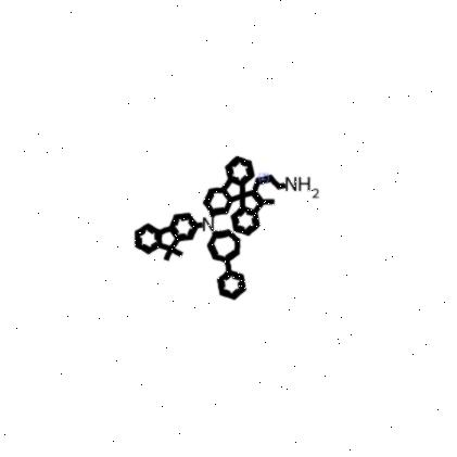 CC1=C(/C=C\CN)C2(c3ccccc31)c1ccccc1C1C=CC(N(C3=CCC=C(c4ccccc4)C=C3)c3ccc4c(c3)C(C)(C)c3ccccc3-4)=CC12